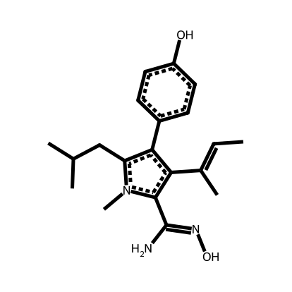 CC=C(C)c1c(-c2ccc(O)cc2)c(CC(C)C)n(C)c1C(N)=NO